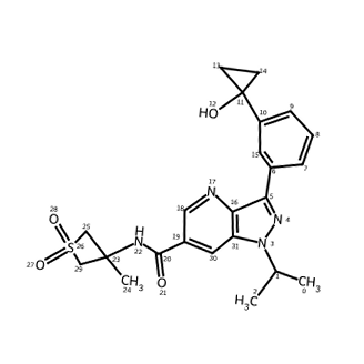 CC(C)n1nc(-c2cccc(C3(O)CC3)c2)c2ncc(C(=O)NC3(C)CS(=O)(=O)C3)cc21